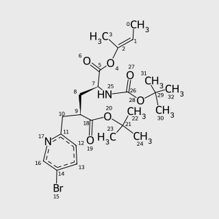 C/C=C(\C)OC(=O)[C@H](C[C@H](Cc1ccc(Br)cn1)C(=O)OC(C)(C)C)NC(=O)OC(C)(C)C